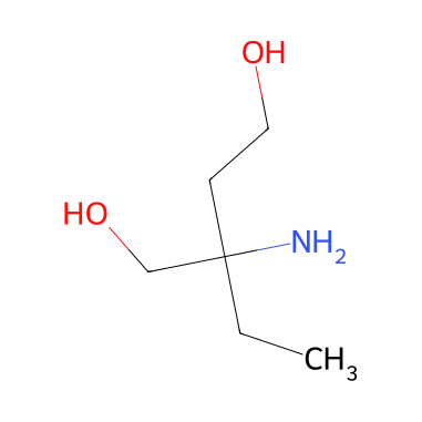 CCC(N)(CO)CCO